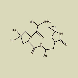 CC(=O)NC(C(=O)N1C[Si](C)(C)CC1C(=O)NC(C#N)CC1CC2(CC2)NC1=O)C(C)(C)C